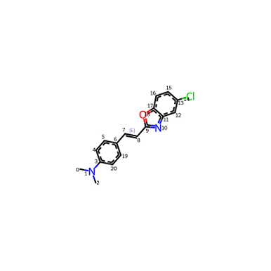 CN(C)c1ccc(/C=C/c2nc3cc(Cl)ccc3o2)cc1